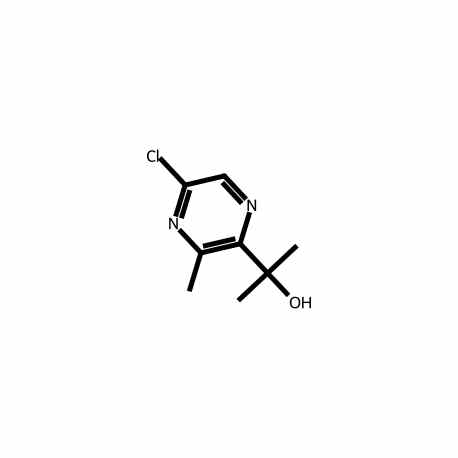 Cc1nc(Cl)cnc1C(C)(C)O